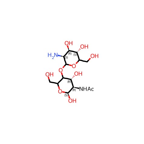 CC(=O)N[C@H]1[C@@H](O)OC(CO)C(OC2OC(CO)[C@@H](O)[C@H](O)[C@@H]2N)[C@@H]1O